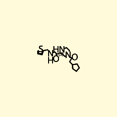 O=C(CNCc1cccs1)[C@@H]1CN(C(=O)CC2CCCC2)CCN1